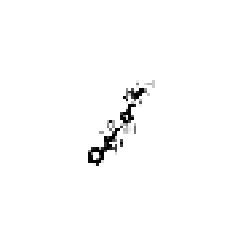 C[C@@H](O)c1nnc(C2CC(NC(=O)c3onc(-c4ccccc4)c3F)C2)o1